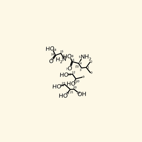 CC(C)C[C@H](N)C(=O)O.CC(O)CO.NCC(=O)O.OCC(O)CO